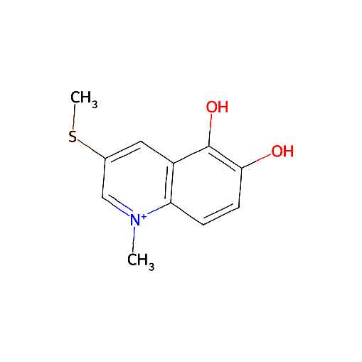 CSc1cc2c(O)c(O)ccc2[n+](C)c1